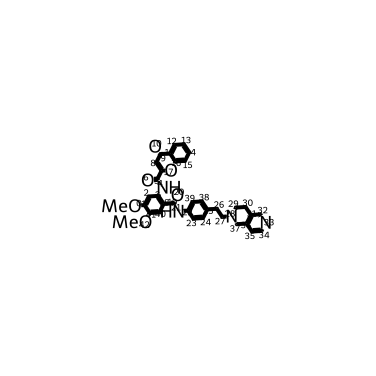 COc1cc(NC(=O)c2cc(=O)c3ccccc3o2)c(C(=O)Nc2ccc(CCN3CCc4cnccc4C3)cc2)cc1OC